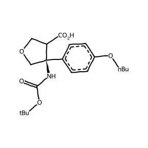 CCCCOc1ccc([C@]2(NC(=O)OC(C)(C)C)COCC2C(=O)O)cc1